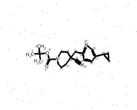 CC(C)(C)OC(=O)N1CCC(C#N)(Cc2ccc(C3CC3)cn2)CC1